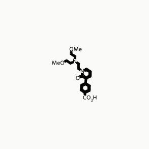 COCCN(CCOC)CCn1cccc(-c2ccc(C(=O)O)cc2)c1=O